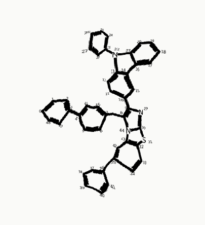 c1ccc(-c2ccc(-c3c(-c4ccc5c(c4)c4ccccc4n5-c4ccccc4)nc4sc5ccc(-c6ccccc6)cc5n34)cc2)cc1